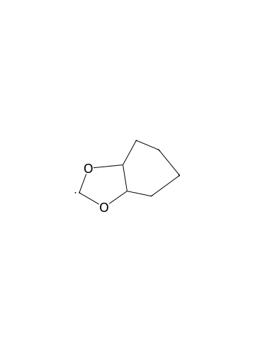 [CH]1OC2CCCCC2O1